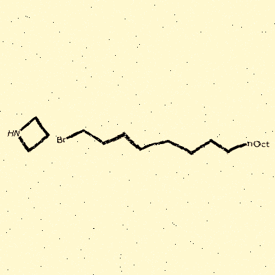 C1CNC1.CCCCCCCCCCCCCCCCBr